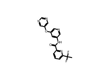 CC(F)(F)c1cccc(C(=O)Nc2cncc(Oc3cncnc3)c2)n1